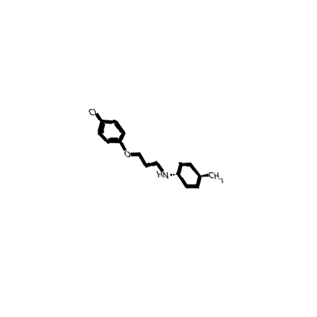 C[C@H]1CC[C@H](NCCCOc2ccc(Cl)cc2)CC1